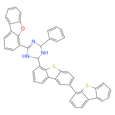 c1ccc(C2N=C(c3cccc4c3oc3ccccc34)NC(c3cccc4c3sc3ccc(-c5cccc6c5sc5ccccc56)cc34)N2)cc1